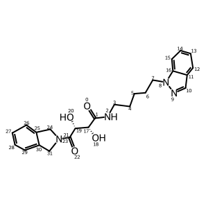 O=C(NCCCCCn1ncc2ccccc21)[C@H](O)[C@@H](O)C(=O)N1Cc2ccccc2C1